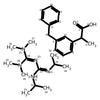 CC(C(=O)O)c1cccc(Cc2ccccc2)c1.CC(C)N=C(N=C(N(C)C)N(C)C)NC(C)C